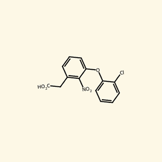 O=C(O)Cc1cccc(Oc2ccccc2Cl)c1[N+](=O)[O-]